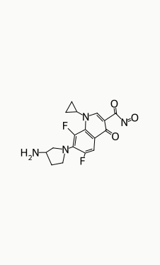 NC1CCN(c2c(F)cc3c(=O)c(C(=O)N=O)cn(C4CC4)c3c2F)C1